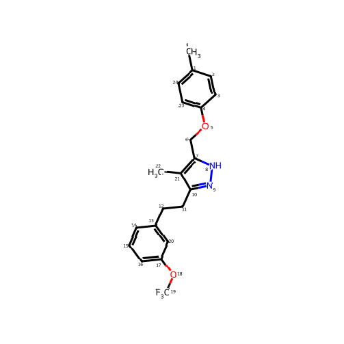 Cc1ccc(OCc2[nH]nc(CCc3cccc(OC(F)(F)F)c3)c2C)cc1